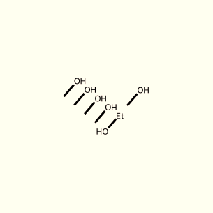 CCO.CO.CO.CO.CO.CO